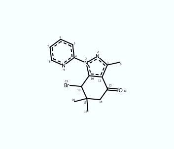 Cc1nn(-c2ccccn2)c2c1C(=O)CC(C)(C)C2Br